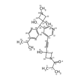 CC(C)C(=O)N1CC(O)(C#Cc2cncc([C@@](O)(c3ccc(C(C)C)cc3)C3(C)CN(C)C3)c2)C1